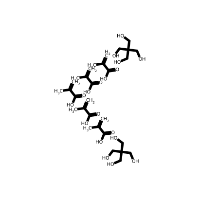 C=C(C)C(=O)O.C=C(C)C(=O)O.C=C(C)C(=O)O.C=C(C)C(=O)O.C=C(C)C(=O)O.OCC(CO)(CO)CO.OCC(CO)(CO)CO